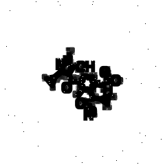 Cc1c(C(=O)c2c(C3CC3)nn(C)c2O)ccc(C[SH](=O)=O)c1C(C1CC1)[SH](=O)=O